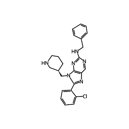 Clc1ccccc1-c1nc2cnc(NCc3ccccc3)nc2n1C[C@@H]1CCCNC1